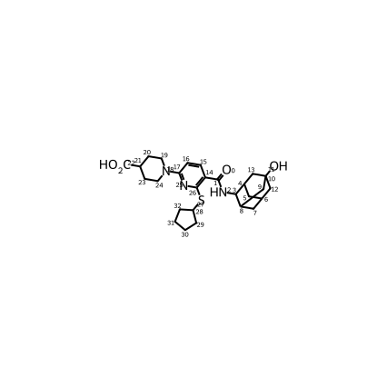 O=C(NC1C2CC3CC1CC(O)(C3)C2)c1ccc(N2CCC(C(=O)O)CC2)nc1SC1CCCC1